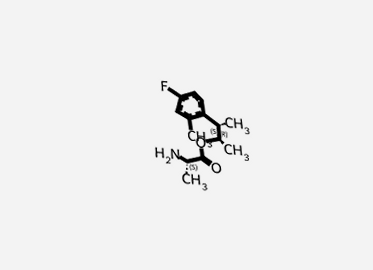 Cc1cc(F)ccc1[C@H](C)[C@@H](C)OC(=O)[C@H](C)N